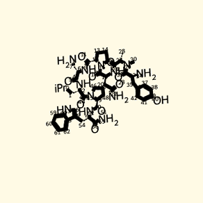 CC(C)C[C@H](NC(=O)[C@H](CN)NC(=O)[C@@H]1CCCN1C(=O)[C@H](CC(N)=O)NC(=O)[C@H](C)N(C)C(=O)[C@@H](N)Cc1ccc(O)cc1)C(=O)N1CCC[C@H]1C(=O)N[C@@H](Cc1c[nH]c2ccccc12)C(N)=O